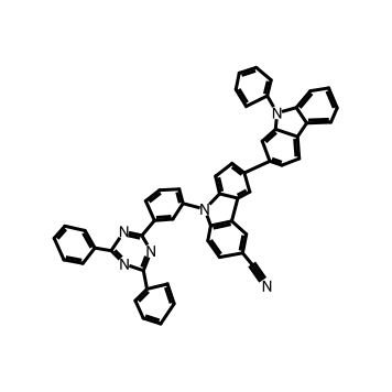 N#Cc1ccc2c(c1)c1cc(-c3ccc4c5ccccc5n(-c5ccccc5)c4c3)ccc1n2-c1cccc(-c2nc(-c3ccccc3)nc(-c3ccccc3)n2)c1